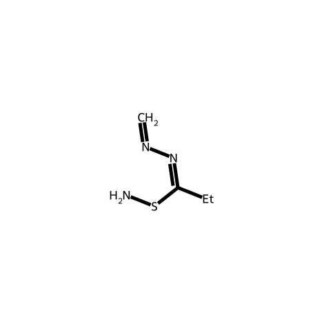 C=N/N=C(/CC)SN